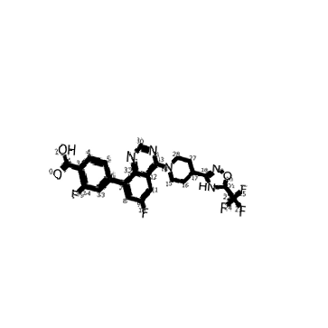 O=C(O)c1ccc(-c2cc(F)cc3c(N4CCC(C5=NOC(C(F)(F)F)N5)CC4)ncnc23)cc1F